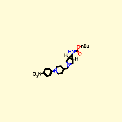 CCCCOC(=O)NC1[C@H]2CN(CC3CCN(c4ccc([N+](=O)[O-])cc4)CC3)C[C@@H]12